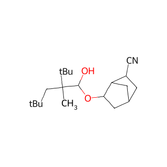 CC(C)(C)CC(C)(C(O)OC1CC2CC(C#N)C1C2)C(C)(C)C